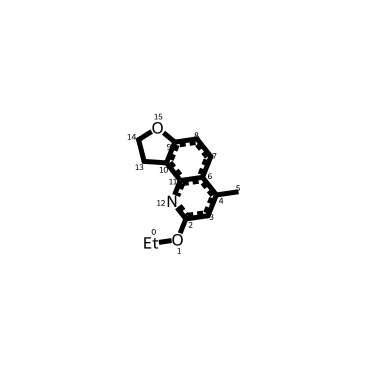 CCOc1cc(C)c2ccc3c(c2n1)CCO3